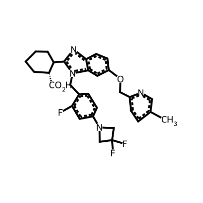 Cc1ccc(COc2ccc3nc(C4CCCC[C@H]4C(=O)O)n(Cc4ccc(N5CC(F)(F)C5)cc4F)c3c2)nc1